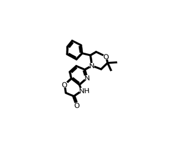 CC1(C)CN(c2ccc3c(n2)NC(=O)CO3)C(c2ccccc2)CO1